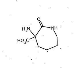 NC1(C(=O)O)CCCCNC1=O